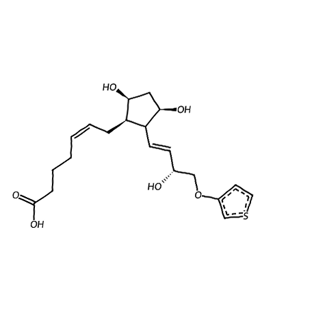 O=C(O)CCC/C=C\C[C@@H]1C(/C=C/[C@@H](O)COc2ccsc2)[C@H](O)C[C@@H]1O